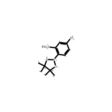 CCOC(=O)c1cc(C(F)(F)F)ccc1B1OC(C)(C)C(C)(C)O1